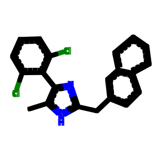 Cc1[nH]c(Cc2ccc3ccccc3c2)nc1-c1c(Cl)cccc1Cl